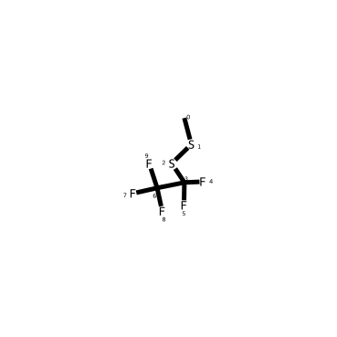 CSSC(F)(F)C(F)(F)F